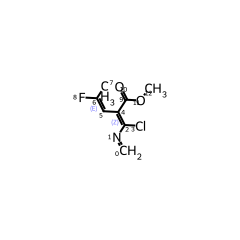 C=N/C(Cl)=C(\C=C(/C)F)C(=O)OC